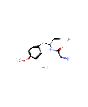 Cl.NCC(=O)NC(CC(=O)O)Cc1ccc(OC(F)(F)F)cc1